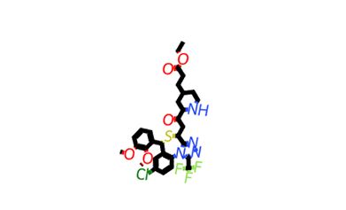 CCOC(=O)CCC1CCNC(C(=O)CC2SC(c3cccc(OC)c3OC)c3cc(Cl)ccc3-n3c2nnc3C(F)(F)F)C1